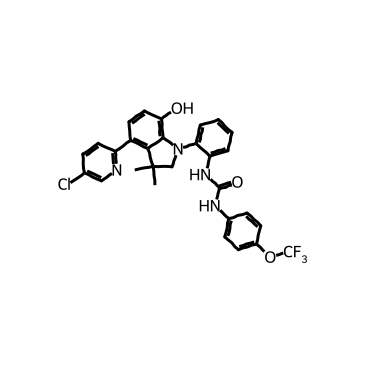 CC1(C)CN(c2ccccc2NC(=O)Nc2ccc(OC(F)(F)F)cc2)c2c(O)ccc(-c3ccc(Cl)cn3)c21